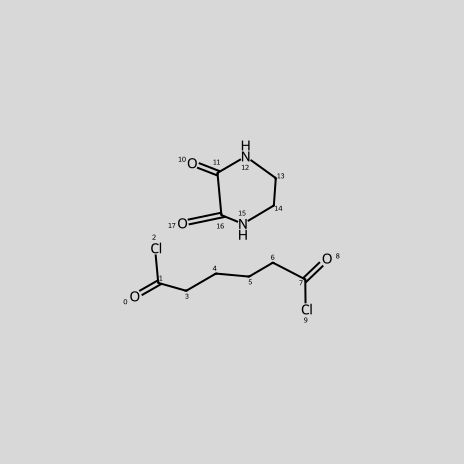 O=C(Cl)CCCCC(=O)Cl.O=C1NCCNC1=O